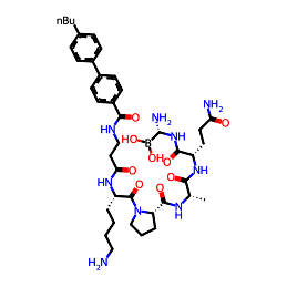 CCCCc1ccc(-c2ccc(C(=O)NCCC(=O)N[C@@H](CCCCN)C(=O)N3CCC[C@H]3C(=O)N[C@@H](C)C(=O)N[C@@H](CCC(N)=O)C(=O)N[C@@H](N)B(O)O)cc2)cc1